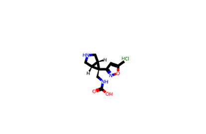 Cc1cc([C@]2(CNC(=O)O)[C@@H]3CNC[C@@H]32)no1.Cl